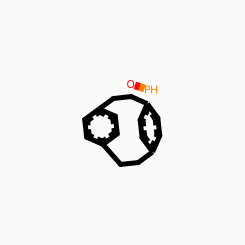 O=P.c1cc2ccc1CCc1ccc(cc1)CC2